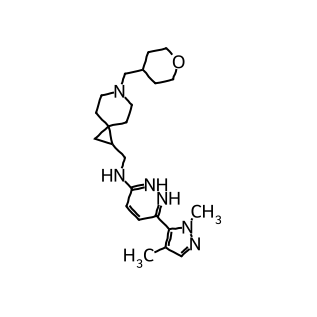 Cc1cnn(C)c1C(=N)/C=C\C(=N)NCC1CC12CCN(CC1CCOCC1)CC2